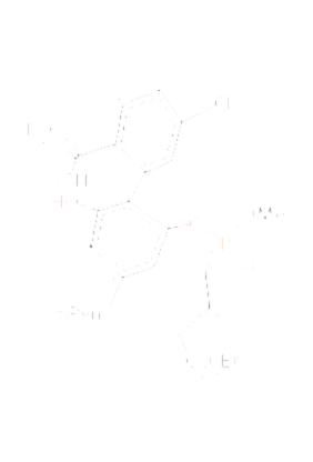 C=C(C)c1ccc(C)cc1-c1c(O)cc(CCCCC)cc1OP(=O)(CCCC(=O)OCC)OC